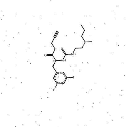 C#CCOC(=O)[C@H](Cc1cc(F)cc(F)c1)NC(=O)NCCC(C)CCC